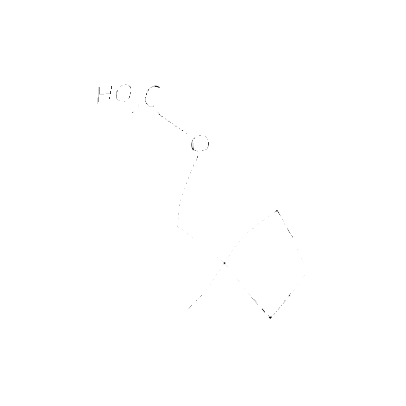 CC1(COC(=O)O)CCC1